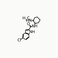 CN[C@@H]1CCCC[C@@H]1NC(=O)c1cc2cc(Cl)ccc2[nH]1